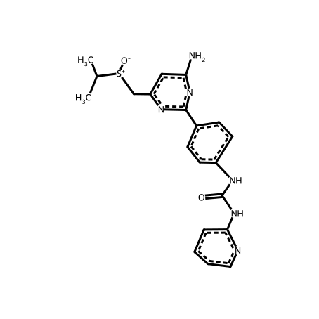 CC(C)[S+]([O-])Cc1cc(N)nc(-c2ccc(NC(=O)Nc3ccccn3)cc2)n1